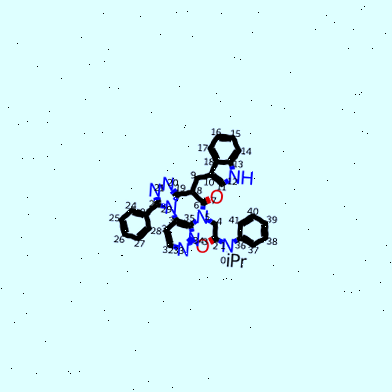 CC(C)N(C(=O)CN1C(=O)C(Cc2c[nH]c3ccccc23)c2nnc(-c3ccccc3)n2-c2ccnnc21)c1ccccc1